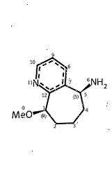 CO[C@@H]1CCC[C@H](N)c2cccnc21